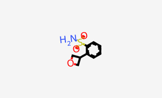 NS(=O)(=O)c1ccccc1C1COC1